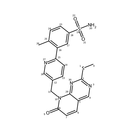 CSc1ncc2ccc(=O)n(Cc3ccc(-c4cc(S(N)(=O)=O)ccc4C)nc3)c2n1